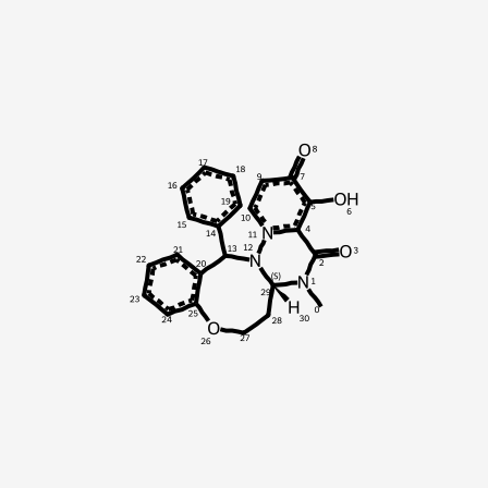 CN1C(=O)c2c(O)c(=O)ccn2N2C(c3ccccc3)c3ccccc3OCC[C@@H]12